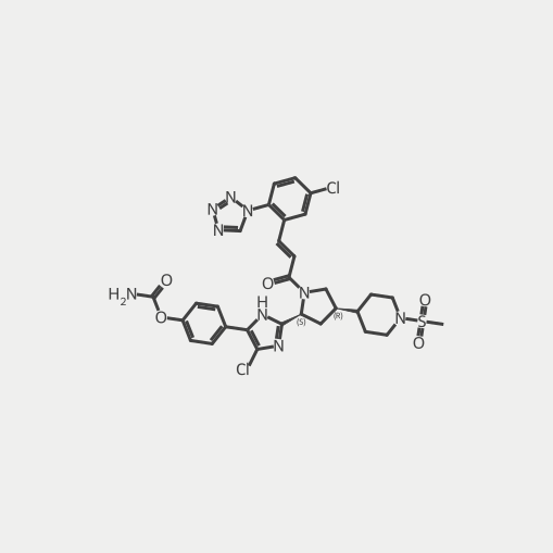 CS(=O)(=O)N1CCC([C@H]2C[C@@H](c3nc(Cl)c(-c4ccc(OC(N)=O)cc4)[nH]3)N(C(=O)C=Cc3cc(Cl)ccc3-n3cnnn3)C2)CC1